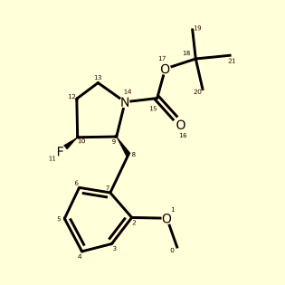 COc1ccccc1C[C@H]1[C@@H](F)CCN1C(=O)OC(C)(C)C